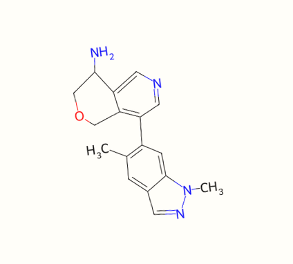 Cc1cc2cnn(C)c2cc1-c1cncc2c1COCC2N